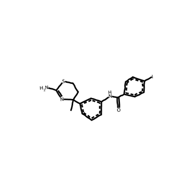 CC1(c2cccc(NC(=O)c3ccc(I)cc3)c2)CCSC(N)=N1